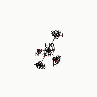 CC(=O)NC1C(OCCCCCCCCCCCC(=O)NCCCCC(NC(=O)CCCCCCCCCCCOC2OC(COC(C)=O)C(OC(C)=O)C(OC(C)=O)C2NC(C)=O)C(=O)NC(CCCCNC(=O)CCCCCCCCCCCOC2OC(COC(C)=O)C(OC(C)=O)C(OC(C)=O)C2NC(C)=O)C(=O)NCCCCCCOP(OCCC#N)N(C(C)C)C(C)C)OC(COC(C)=O)C(O)C1OC(C)=O